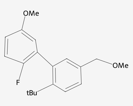 COCc1ccc(C(C)(C)C)c(-c2cc(OC)ccc2F)c1